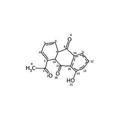 CC(=O)C1=CC=CC2C(=O)c3cccc(O)c3C(=O)C12